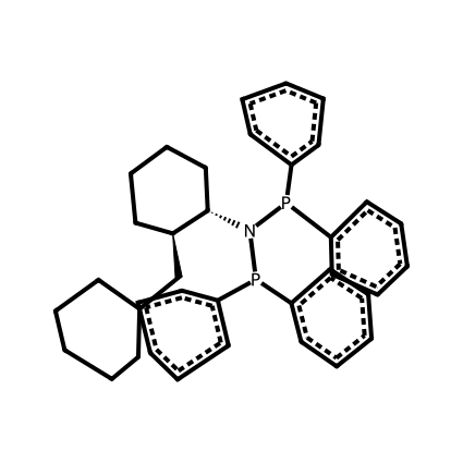 c1ccc(P(c2ccccc2)N([C@H]2CCCC[C@@H]2CC2CCCCC2)P(c2ccccc2)c2ccccc2)cc1